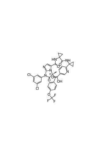 C[C@@]1(Cc2ccc(OC(F)(F)F)cc2)C(=O)N(c2cc(Cl)cc(Cl)c2)c2ncc(C(=O)NC3(C(=O)NC4(c5ccc(C(=O)O)cn5)CC4)CC3)n21